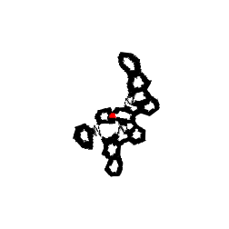 c1ccc(N(c2ccccc2)c2cc3ccccc3c3c4cccc5c6c7c8cccc9c%10cc%11ccccc%11cc%10n(c7cnc6n(c23)c54)c98)cc1